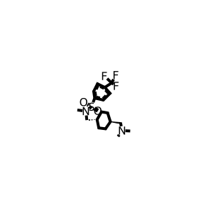 CN(C)C[C@H]1CC[C@H](CN(C)S(=O)(=O)c2ccc(C(F)(F)F)cc2)CC1